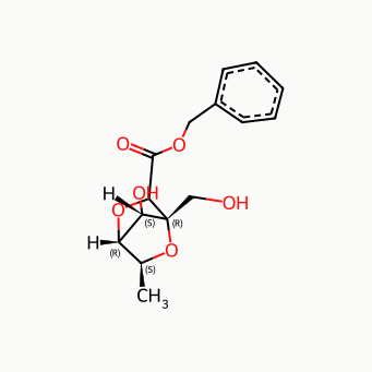 C[C@@H]1O[C@@]2(CO)C(C(=O)OCc3ccccc3)O[C@@H]1[C@@H]2O